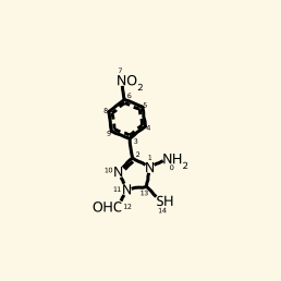 NN1C(c2ccc([N+](=O)[O-])cc2)=NN(C=O)C1S